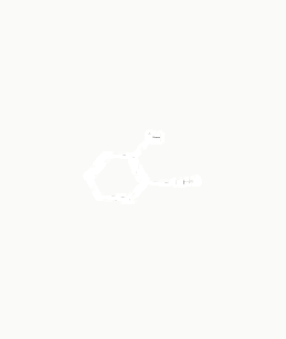 O=Cc1[c]cccc1O